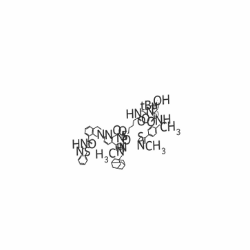 Cc1ncsc1-c1ccc(C(C)NC(=O)[C@@H]2C[C@@H](O)CN2C(=O)C(NC(=O)CCCCS(=O)(=O)NC(=O)c2nc(N3CCc4cccc(C(=O)Nc5nc6ccccc6s5)c4C3)ccc2-c2cnn(CC34CC5CC(CC(C5)C3)C4)c2C)C(C)(C)C)cc1